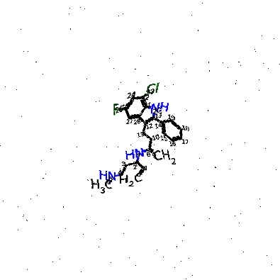 C=CC(CCNC)NC(=C)CCc1c(-c2ccccc2)[nH]c2c(Cl)cc(F)cc12